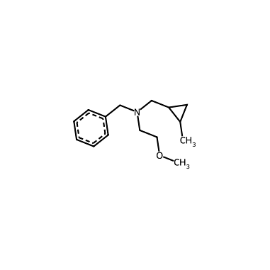 COCCN(Cc1ccccc1)CC1CC1C